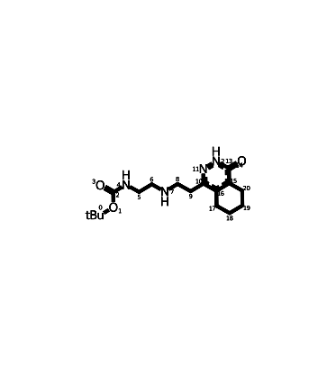 CC(C)(C)OC(=O)NCCNCCc1n[nH]c(=O)c2c1CCCC2